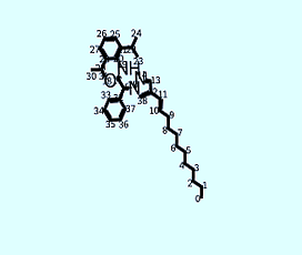 CCCCCCCCCCC=Cc1cnn(C(C(=O)Nc2c(C(C)C)cccc2C(C)C)c2ccccc2)c1